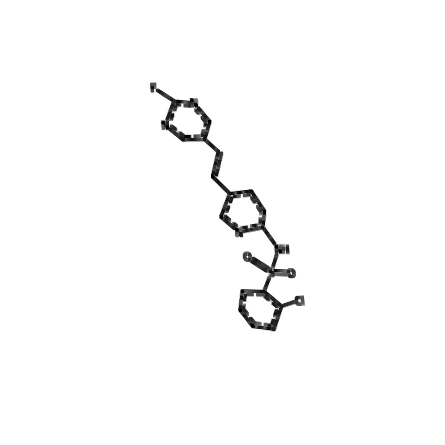 O=S(=O)(Nc1ccc(/C=C/c2cnc(F)nc2)cn1)c1ccccc1Cl